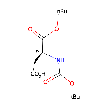 CCCCOC(=O)[C@H](CC(=O)O)NC(=O)OC(C)(C)C